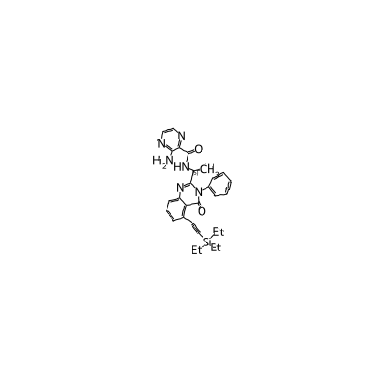 CC[Si](C#Cc1cccc2nc([C@H](C)NC(=O)c3nccnc3N)n(-c3ccccc3)c(=O)c12)(CC)CC